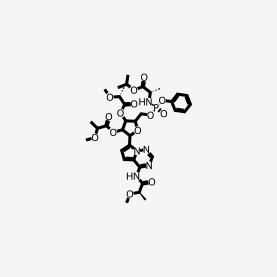 COC(C)C(=O)OC1C(c2ccc3c(NC(=O)[C@@H](C)OC)ncnn23)OC(CO[P@@](=O)(N[C@@H](C)C(=O)OC(C)C)Oc2ccccc2)C1OC(=O)[C@@H](C)OC